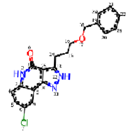 O=c1[nH]c2ccc(Cl)cc2c2n[nH]c(CCCOCc3ccccc3)c12